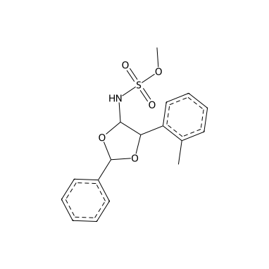 COS(=O)(=O)NC1OC(c2ccccc2)OC1c1ccccc1C